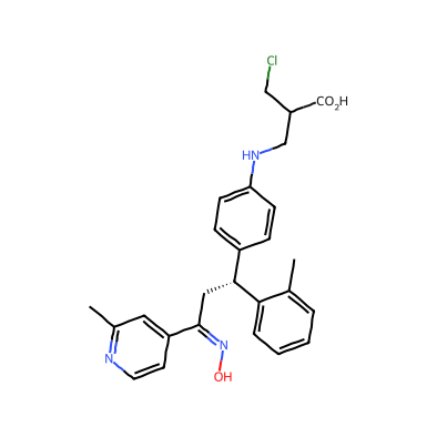 Cc1cc(/C(C[C@H](c2ccc(NCC(CCl)C(=O)O)cc2)c2ccccc2C)=N\O)ccn1